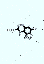 O=C(O)C(=O)Nc1c(Br)cc(Br)cc1C(=O)O